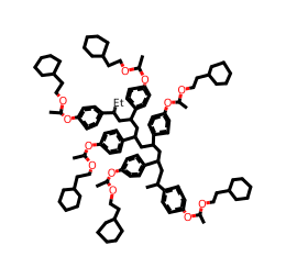 CCC(CC(CC(CC(CC(CC(C)c1ccc(OC(C)OCCC2CCCCC2)cc1)c1ccc(OC(C)OCCC2CCCCC2)cc1)c1ccc(OC(C)OCCC2CCCCC2)cc1)c1ccc(OC(C)OCCC2CCCCC2)cc1)c1ccc(OC(C)OCCC2CCCCC2)cc1)c1ccc(OC(C)OCCC2CCCCC2)cc1